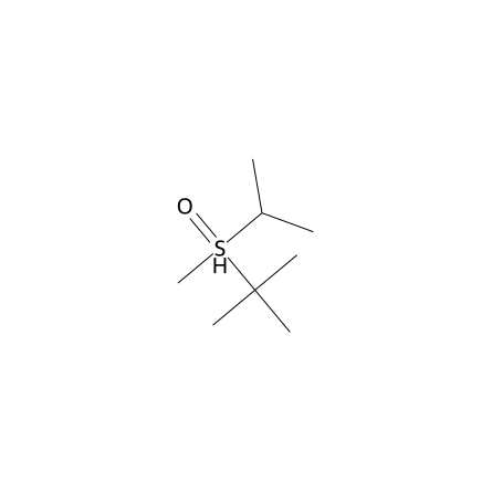 CC(C)[SH](C)(=O)C(C)(C)C